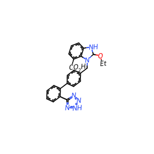 CCOC1Nc2cccc(C(=O)O)c2N1Cc1ccc(-c2ccccc2-c2nn[nH]n2)cc1